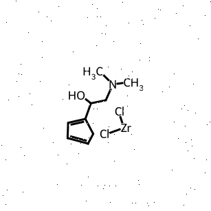 CN(C)CC(O)C1=CC=CC1.[Cl][Zr][Cl]